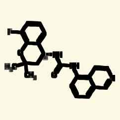 CC1(C)C[C@@H](NC(=O)Nc2cccc3cnccc23)c2cccc(F)c2O1